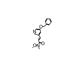 CON(C)C(=O)/C=C/c1cncc(OCc2ccccc2)c1